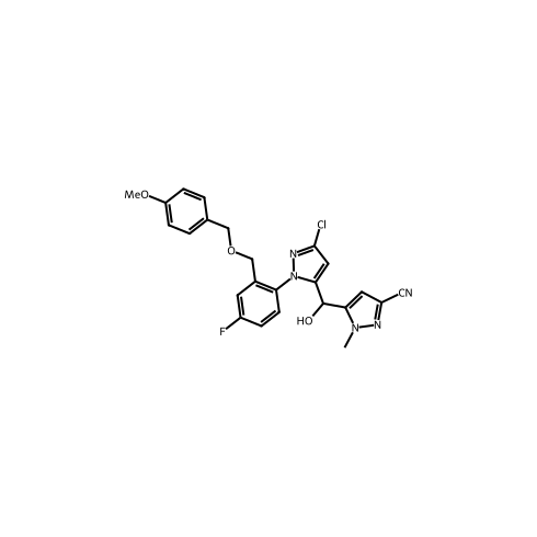 COc1ccc(COCc2cc(F)ccc2-n2nc(Cl)cc2C(O)c2cc(C#N)nn2C)cc1